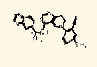 Cc1ccc(N2CCc3ncnc(N[C@@H](C)c4ccc5nccnc5c4)c3C2)c(C#N)c1